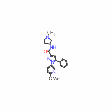 COc1ccc(-n2nc(C(=O)NC3CCN(C)C3)cc2-c2ccccc2)cn1